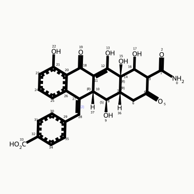 NC(=O)C1C(=O)C[C@@H]2[C@@H](O)[C@H]3C(=C(O)[C@]2(O)C1O)C(=O)c1c(O)cccc1/C3=C\c1ccc(C(=O)O)cc1